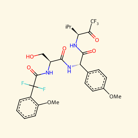 COc1ccc([C@H](NC(=O)[C@H](CO)NC(=O)C(F)(F)c2ccccc2OC)C(=O)N[C@H](C(=O)C(F)(F)F)C(C)C)cc1